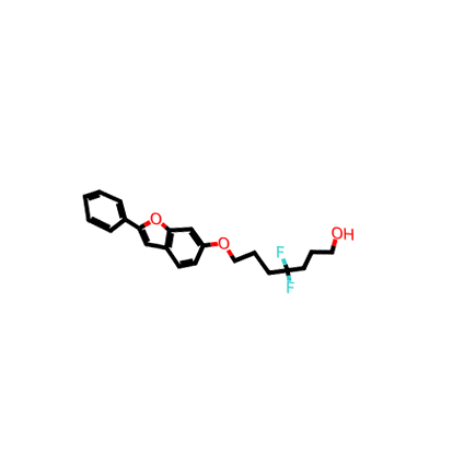 OCCCC(F)(F)CCCOc1ccc2cc(-c3ccccc3)oc2c1